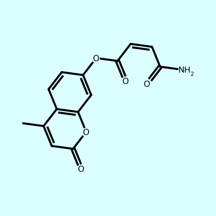 Cc1cc(=O)oc2cc(OC(=O)/C=C\C(N)=O)ccc12